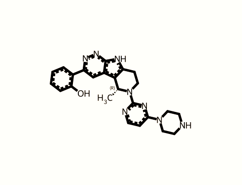 C[C@@H]1c2c([nH]c3nnc(-c4ccccc4O)cc23)CCN1c1nccc(N2CCNCC2)n1